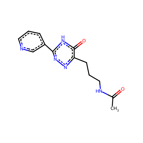 CC(=O)NCCCc1nnc(-c2cccnc2)[nH]c1=O